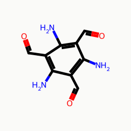 Nc1c(C=O)c(N)c(C=O)c(N)c1C=O